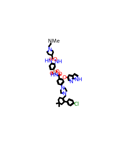 CNCCN1CCC(CNc2ccc(S(=O)(=O)NC(=O)c3ccc(N4CCN(CC5=C(c6ccc(Cl)cc6)CC(C)(C)CC5)CC4)cc3Oc3cnc4[nH]ccc4c3)cc2NO)CC1